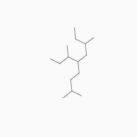 [CH2]C(C)CCC(CC(C)CC)C(C)CC